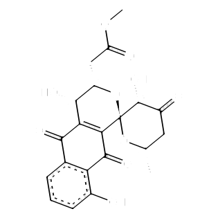 COC(=O)C[C@@H]1O[C@@]2(O[C@@H](C)CC(=O)[C@H]2O)C2=C(C(=O)c3cccc(O)c3C2=O)[C@@H]1O